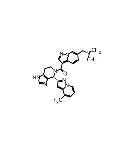 CN(C)Cc1ccc2c(C(=O)N3CCc4[nH]cnc4[C@H]3c3cc4c(C(F)(F)F)cccn4n3)cnn2c1